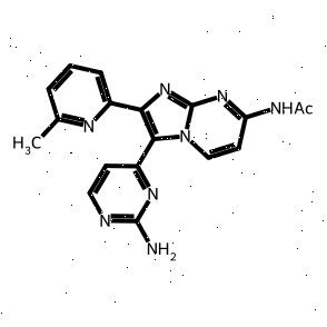 CC(=O)Nc1ccn2c(-c3ccnc(N)n3)c(-c3cccc(C)n3)nc2n1